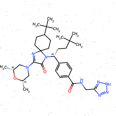 C[C@@H]1CN(C2=NC3(CCC(C(C)(C)C)CC3)N([C@H](CCC(C)(C)C)c3ccc(C(=O)NCc4nn[nH]n4)cc3)C2=O)C[C@H](C)O1